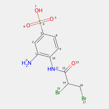 Nc1cc(S(=O)(=O)O)ccc1NC(=O)C(Br)CBr